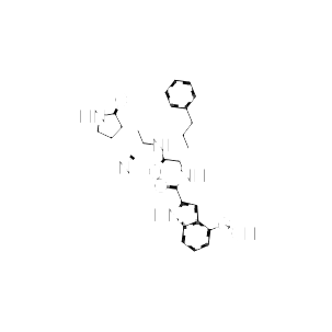 COc1cccc2[nH]c(C(=O)N[C@@H](CCCc3ccccc3)C(=O)N[C@H](C#N)C[C@@H]3CCNC3=O)cc12